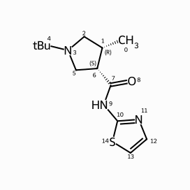 C[C@H]1CN(C(C)(C)C)C[C@H]1C(=O)Nc1nccs1